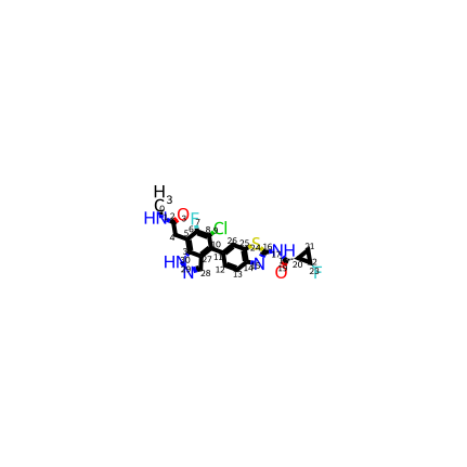 CNC(=O)Cc1c(F)c(Cl)c(-c2ccc3nc(NC(=O)[C@@H]4C[C@@H]4F)sc3c2)c2cn[nH]c12